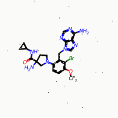 Nc1ncnc2c1ncn2Cc1c(N2CCC(N)(C(=O)NC3CC3)C2)ccc(OC(F)(F)F)c1Br